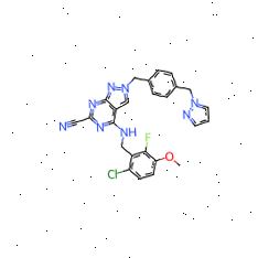 COc1ccc(Cl)c(CNc2nc(C#N)nc3nn(Cc4ccc(Cn5cccn5)cc4)cc23)c1F